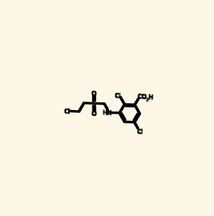 O=C(O)c1cc(Cl)cc(NCS(=O)(=O)CCCl)c1Cl